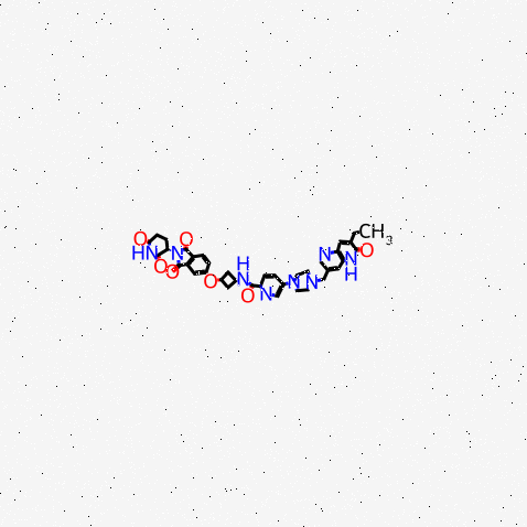 CCc1cc2ncc(CN3CCN(c4ccc(C(=O)NC5CC(Oc6ccc7c(c6)C(=O)N([C@H]6CCC(=O)NC6=O)C7=O)C5)nc4)CC3)cc2[nH]c1=O